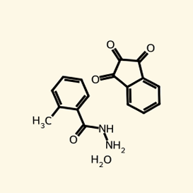 Cc1ccccc1C(=O)NN.O.O=c1c(=O)c2ccccc2c1=O